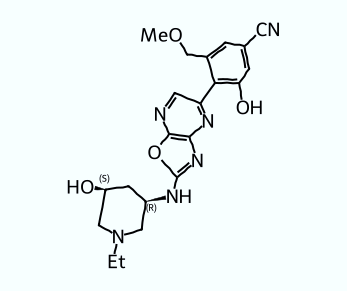 CCN1C[C@@H](O)C[C@@H](Nc2nc3nc(-c4c(O)cc(C#N)cc4COC)cnc3o2)C1